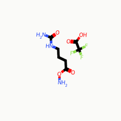 NOC(=O)CCCNC(N)=O.O=C(O)C(F)(F)F